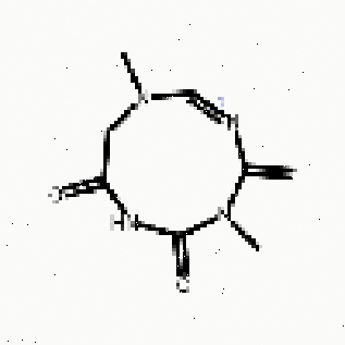 C=C1/N=C\N(C)CC(=O)NC(=O)N1C